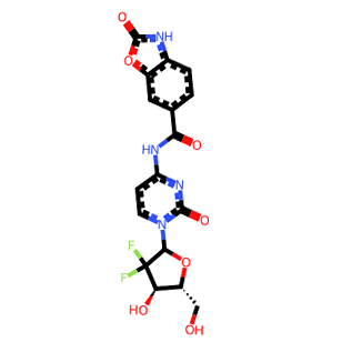 O=C(Nc1ccn(C2O[C@H](CO)[C@@H](O)C2(F)F)c(=O)n1)c1ccc2[nH]c(=O)oc2c1